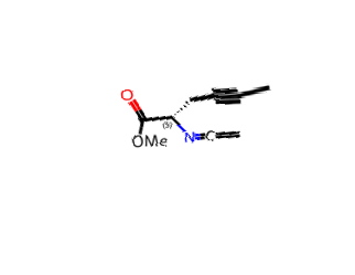 C=C=N[C@@H](CC#CC)C(=O)OC